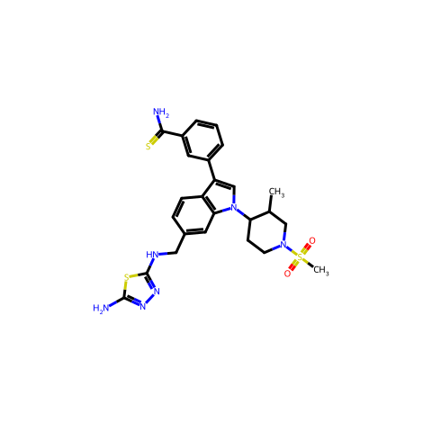 CC1CN(S(C)(=O)=O)CCC1n1cc(-c2cccc(C(N)=S)c2)c2ccc(CNc3nnc(N)s3)cc21